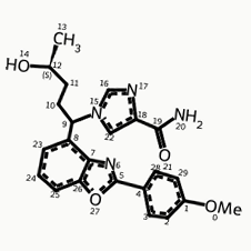 COc1ccc(-c2nc3c(C(CC[C@H](C)O)n4cnc(C(N)=O)c4)cccc3o2)cc1